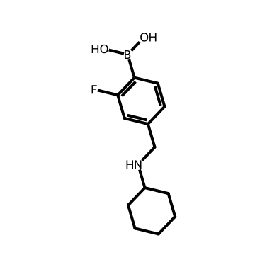 OB(O)c1ccc(CNC2CCCCC2)cc1F